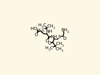 BCC(=O)SC[C@H](NC(=O)C(CCC(=O)O)NC(C)(C)C)C(=O)C(C)(C)C